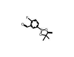 C=C1OB(c2ccc(F)c(C=O)c2)OC1(C)C